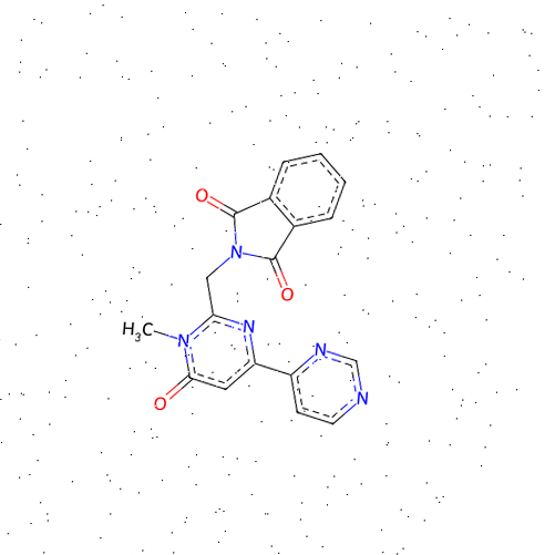 Cn1c(CN2C(=O)c3ccccc3C2=O)nc(-c2ccncn2)cc1=O